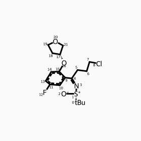 CC(C)(C)[S@+]([O-])/N=C(/CCCCl)c1cc(F)ccc1O[C@@H]1CCOC1